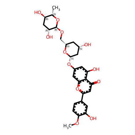 COc1ccc(-c2cc(=O)c3c(O)cc(O[C@H]4C[C@@H](O)C[C@@H](CO[C@@H]5O[C@@H](C)[C@H](O)C[C@H]5O)O4)cc3o2)cc1O